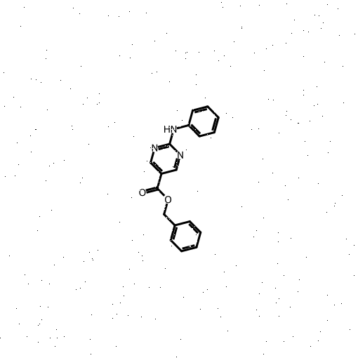 O=C(OCc1ccccc1)c1cnc(Nc2ccccc2)nc1